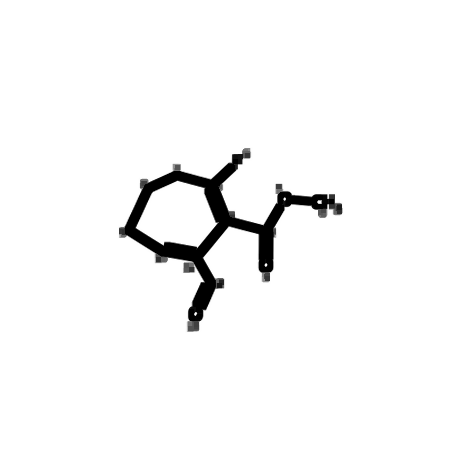 COC(=O)C1=C(F)CCCC=C1C=O